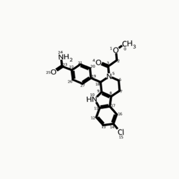 COCC(=O)N1CCc2c([nH]c3ccc(Cl)cc23)C1c1ccc(C(N)=O)cc1